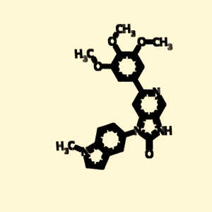 COc1cc(-c2cc3c(cn2)[nH]c(=O)n3-c2ccc3c(ccn3C)c2)cc(OC)c1OC